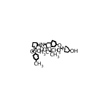 Cc1ccc(S(=O)(=O)N2CCC[C@H]2C(=O)N[C@@H](Cc2ccc(OC(=O)N3CCC(O)CC3)cc2)C(=O)OC(C)(C)C)cc1